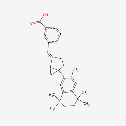 Cc1cc2c(cc1C13CC/C(=C\c4cccc(C(=O)O)c4)C1C3)C(C)(C)CCC2(C)C